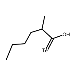 CCCCC(C)C(O)=[Te]